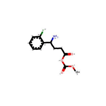 CC(C)(C)OC(=O)OC(=O)CCC(N)c1ccccc1F